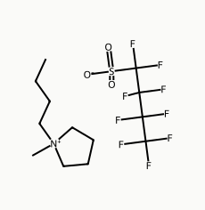 CCCC[N+]1(C)CCCC1.O=S(=O)([O-])C(F)(F)C(F)(F)C(F)(F)C(F)(F)F